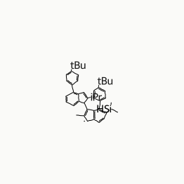 CC1=C(C2C(C(C)C)=Cc3c(-c4ccc(C(C)(C)C)cc4)cccc32)c2c(ccc([SiH](C)C)c2-c2ccc(C(C)(C)C)cc2)[CH]1